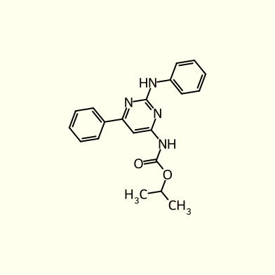 CC(C)OC(=O)Nc1cc(-c2ccccc2)nc(Nc2ccccc2)n1